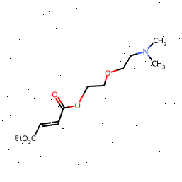 CCOC(=O)/C=C/C(=O)OCCOCCN(C)C